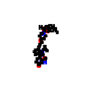 CC(C)(C)OC(=O)N1CCC(OCC#Cc2cccc3c(C4CCC(=O)NC4=O)nn(C4CC4)c23)CC1